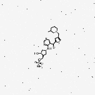 CC1CCCN(Cc2csc(C(=O)c3cncnc3N[C@@H]3CC(COS(N)(=O)=O)[C@@H](O)C3)c2)C1